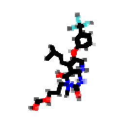 CC(C)CCc1c(Oc2cccc(C(F)(F)F)c2)cnc2c1C(=O)[N+](C)(CCCOC=O)C(=O)N2